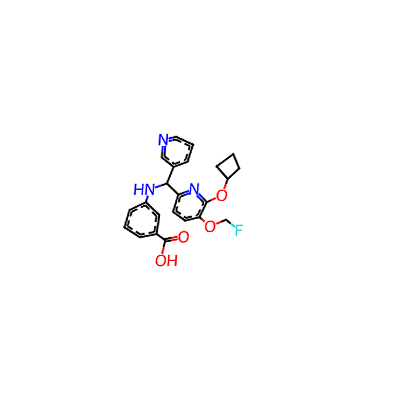 O=C(O)c1cccc(NC(c2cccnc2)c2ccc(OCF)c(OC3CCC3)n2)c1